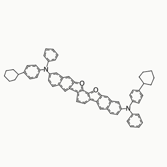 c1ccc(N(c2ccc(C3CCCCC3)cc2)c2ccc3cc4c(cc3c2)oc2c4ccc3c4cc5ccc(N(c6ccccc6)c6ccc(C7CCCCC7)cc6)cc5cc4oc32)cc1